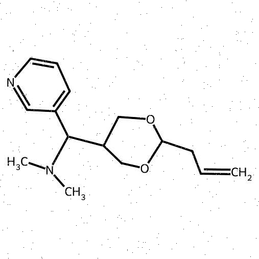 C=CCC1OCC(C(c2cccnc2)N(C)C)CO1